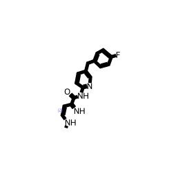 CN/C=C\C(=N)C(=O)Nc1ccc(Cc2ccc(F)cc2)cn1